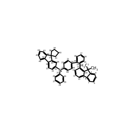 CC1(C)c2ccccc2-c2cccc(-c3ccccc3-c3ccc(N(c4ccccc4)c4ccc5c(c4)C4(CCCC4)c4ccccc4-5)cc3)c21